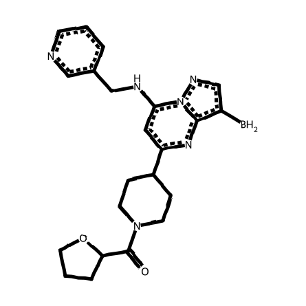 Bc1cnn2c(NCc3cccnc3)cc(C3CCN(C(=O)C4CCCO4)CC3)nc12